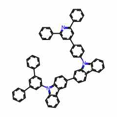 c1ccc(-c2cc(-c3ccccc3)cc(-n3c4ccccc4c4cc(-c5ccc6c7ccccc7n(-c7ccc(-c8cc(-c9ccccc9)nc(-c9ccccc9)c8)cc7)c6c5)ccc43)c2)cc1